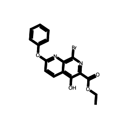 CCOC(=O)c1nc(Br)c2nc(Oc3ccccc3)ccc2c1O